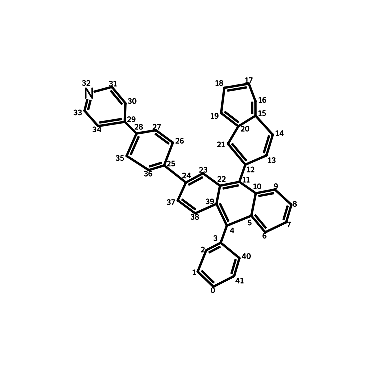 c1ccc(-c2c3ccccc3c(-c3ccc4ccccc4c3)c3cc(-c4ccc(-c5ccncc5)cc4)ccc23)cc1